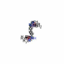 CN1CCC(c2nc(-c3ccc4cc(-c5ccc(-c6cnc(C7CCN(C)N7C(=O)OC(C)(C)C)[nH]6)cc5)ccc4c3)c[nH]2)N1C(=O)OC(C)(C)C